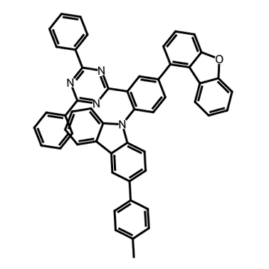 Cc1ccc(-c2ccc3c(c2)c2ccccc2n3-c2ccc(-c3cccc4oc5ccccc5c34)cc2-c2nc(-c3ccccc3)nc(-c3ccccc3)n2)cc1